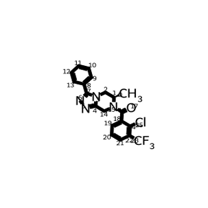 C[C@@H]1Cn2c(nnc2-c2ccccc2)CN1C(=O)c1cccc(C(F)(F)F)c1Cl